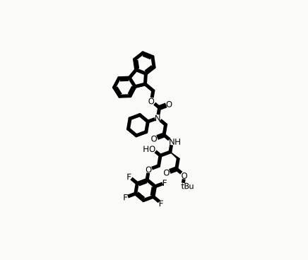 CC(C)(C)OC(=O)C[C@H](NC(=O)CN(C(=O)OCC1c2ccccc2-c2ccccc21)C1CCCCC1)C(O)COc1c(F)c(F)cc(F)c1F